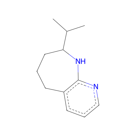 CC(C)C1CCCc2cccnc2N1